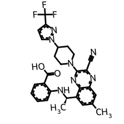 Cc1cc([C@@H](C)Nc2ccccc2C(=O)O)c2nc(N3CCC(n4ccc(C(F)(F)F)n4)CC3)c(C#N)nc2c1